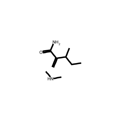 C=C(C(N)=O)C(C)CC.CNC